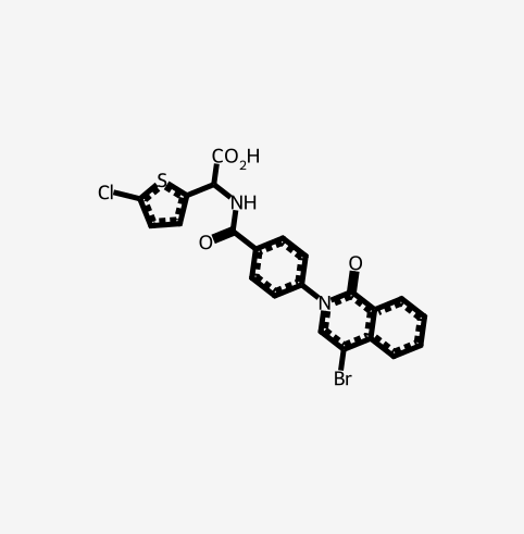 O=C(NC(C(=O)O)c1ccc(Cl)s1)c1ccc(-n2cc(Br)c3ccccc3c2=O)cc1